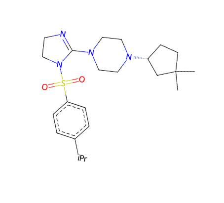 CC(C)c1ccc(S(=O)(=O)N2CCN=C2N2CCN([C@@H]3CCC(C)(C)C3)CC2)cc1